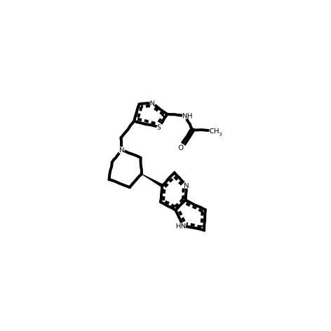 CC(=O)Nc1ncc(CN2CCC[C@H](c3cnc4cc[nH]c4c3)C2)s1